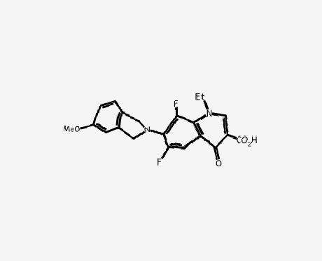 CCn1cc(C(=O)O)c(=O)c2cc(F)c(N3Cc4ccc(OC)cc4C3)c(F)c21